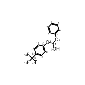 OB(Oc1ccccc1)Oc1ccc(C(F)(F)F)cc1